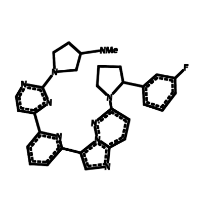 CNC1CCN(c2nccc(-c3cccc(-c4cnc5ccc(N6CCCC6c6cccc(F)c6)nn45)n3)n2)C1